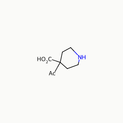 CC(=O)C1(C(=O)O)CCNCC1